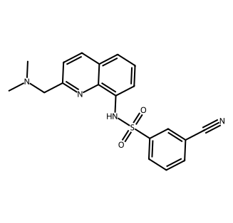 CN(C)Cc1ccc2cccc(NS(=O)(=O)c3cccc(C#N)c3)c2n1